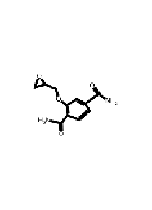 NC(=O)c1ccc(C(N)=O)c(OCC2CO2)c1